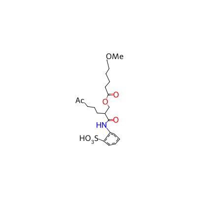 COCCCCCC(=O)OCC(CCCC(C)=O)C(=O)Nc1ccccc1S(=O)(=O)O